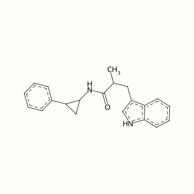 CC(Cc1c[nH]c2ccccc12)C(=O)NC1CC1c1ccccc1